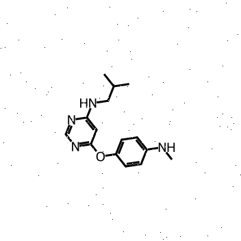 CNc1ccc(Oc2cc(NCC(C)C)ncn2)cc1